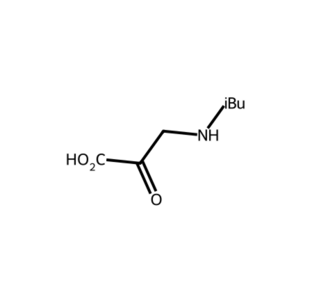 CCC(C)NCC(=O)C(=O)O